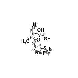 CO[C@@H]1[C@@H](N=[N+]=[N-])[C@@H](O)[C@@H](CO)O[C@@H]1Sc1cncc(SC(F)(F)F)c1